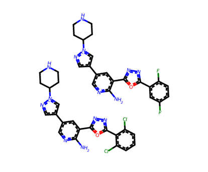 Nc1ncc(-c2cnn(C3CCNCC3)c2)cc1-c1nnc(-c2c(Cl)cccc2Cl)o1.Nc1ncc(-c2cnn(C3CCNCC3)c2)cc1-c1nnc(-c2cc(F)ccc2F)o1